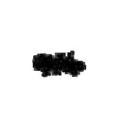 CCc1cccc(N(c2cccc(-c3cccc(-c4ccccc4CC)c3)c2O)c2cc(C(C)C)c3ccc4c(N(c5cccc(CC)c5)c5cccc6c5oc5c(-c7ccccc7CC)cccc56)cc(C(C)C)c5ccc2c3c54)c1